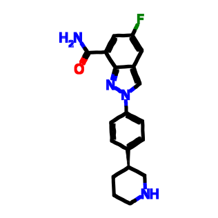 NC(=O)c1cc(F)cc2cn(-c3ccc([C@@H]4CCCNC4)cc3)nc12